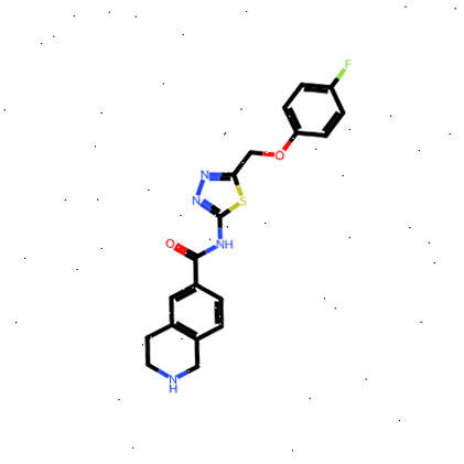 O=C(Nc1nnc(COc2ccc(F)cc2)s1)c1ccc2c(c1)CCNC2